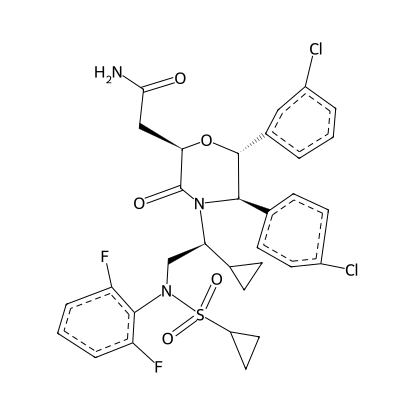 NC(=O)C[C@H]1O[C@H](c2cccc(Cl)c2)[C@@H](c2ccc(Cl)cc2)N([C@H](CN(c2c(F)cccc2F)S(=O)(=O)C2CC2)C2CC2)C1=O